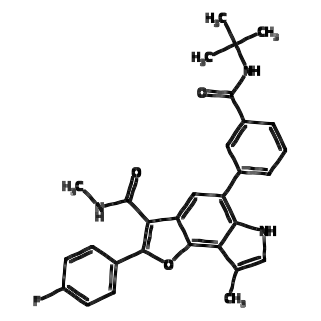 CNC(=O)c1c(-c2ccc(F)cc2)oc2c1cc(-c1cccc(C(=O)NC(C)(C)C)c1)c1[nH]cc(C)c12